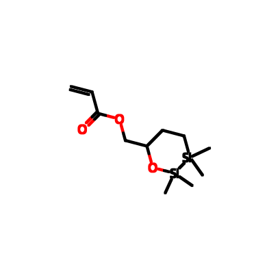 C=CC(=O)OCC1CC[Si](C)(C)[Si](C)(C)O1